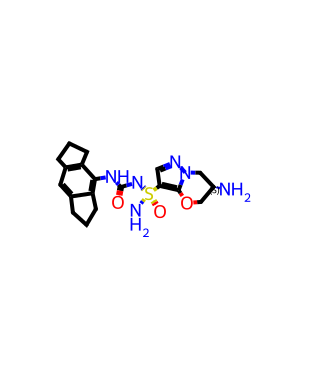 N[C@@H]1COc2c(S(N)(=O)=NC(=O)Nc3c4c(cc5c3CCC5)CCC4)cnn2C1